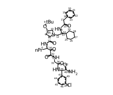 CCCC(NC(=O)[C@@H]1C[C@@H](OC(C)(C)C)CN1C[C@@H](NC(=O)Cc1ccccc1)C1CCCCC1)C(=O)C(=O)NCC(=O)NC(C(N)=O)c1cccc(Cl)c1